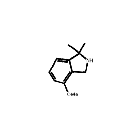 COc1cccc2c1CNC2(C)C